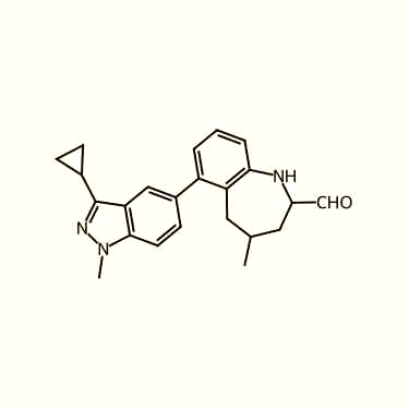 CC1Cc2c(cccc2-c2ccc3c(c2)c(C2CC2)nn3C)NC(C=O)C1